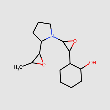 CC1OC1C1CCCN1C1OC1C1CCCCC1O